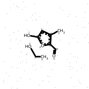 CCO.Cc1cc(O)oc1C=O